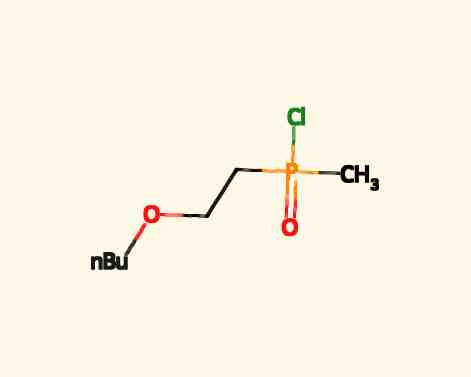 CCCCOCCP(C)(=O)Cl